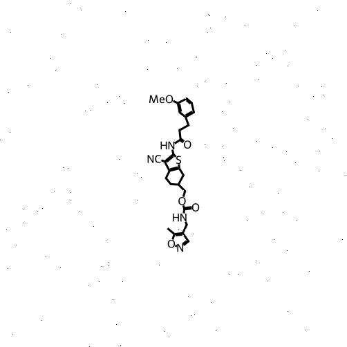 COc1cccc(CCC(=O)Nc2sc3c(c2C#N)CCC(COC(=O)NCc2cnoc2C)C3)c1